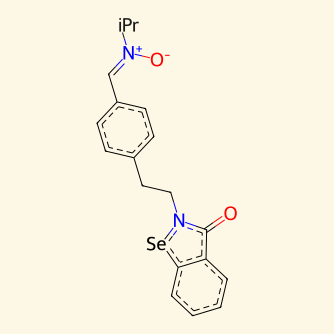 CC(C)[N+]([O-])=Cc1ccc(CCn2[se]c3ccccc3c2=O)cc1